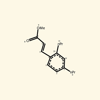 CCCc1ccc(C=CC(=O)OC)c(CCC)c1